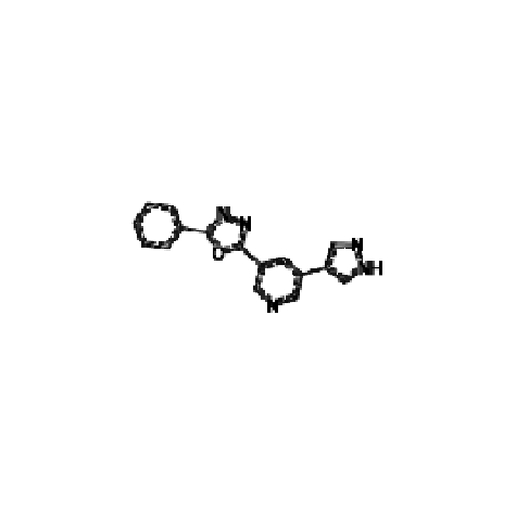 c1ccc(-c2nnc(-c3cncc(-c4cn[nH]c4)c3)o2)cc1